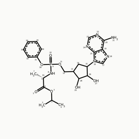 CC(C)OC(=O)[C@H](C)NP(=O)(OCC1CC(n2cnc3c(N)ncnc32)C(O)C1O)Oc1ccccc1